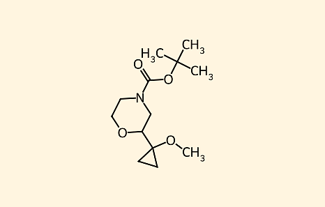 COC1(C2CN(C(=O)OC(C)(C)C)CCO2)CC1